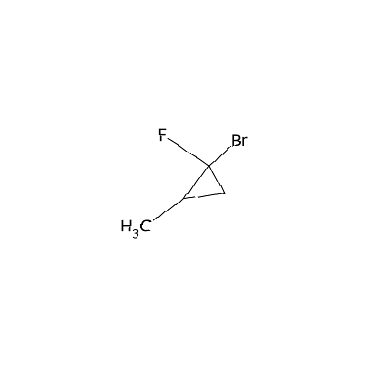 CC1CC1(F)Br